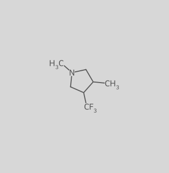 CC1CN(C)CC1C(F)(F)F